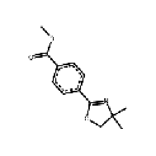 COC(=O)c1ccc(C2=NC(C)(C)CO2)cc1